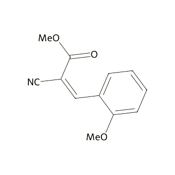 COC(=O)C(C#N)=Cc1ccccc1OC